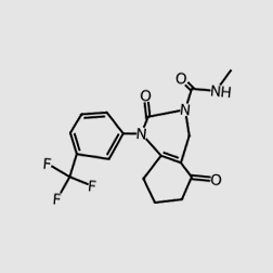 CNC(=O)N1CC2=C(CCCC2=O)N(c2cccc(C(F)(F)F)c2)C1=O